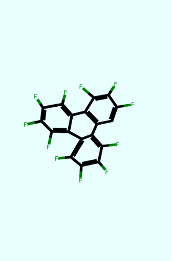 Fc1[c]c2c(c(F)c1F)c1c(F)c(F)c(F)c(F)c1c1c(F)c(F)c(F)c(F)c21